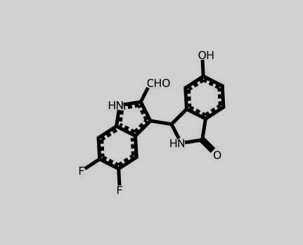 O=Cc1[nH]c2cc(F)c(F)cc2c1C1NC(=O)c2ccc(O)cc21